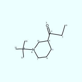 CCC(=O)C1CCCN(C(C)(C)C)C1